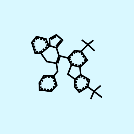 CC(C)(C)c1ccc2c(c1)-c1cc(C(C)(C)C)cc(C(C3=CC=CC3)=C(Cc3ccccc3)Cc3ccccc3)c1C2